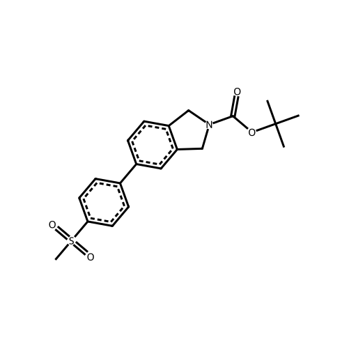 CC(C)(C)OC(=O)N1Cc2ccc(-c3ccc(S(C)(=O)=O)cc3)cc2C1